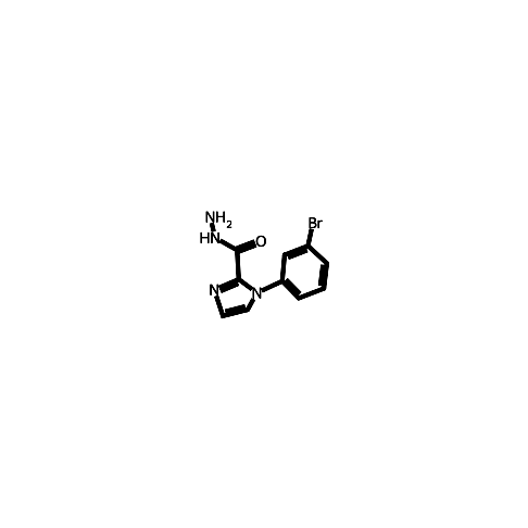 NNC(=O)c1nccn1-c1cccc(Br)c1